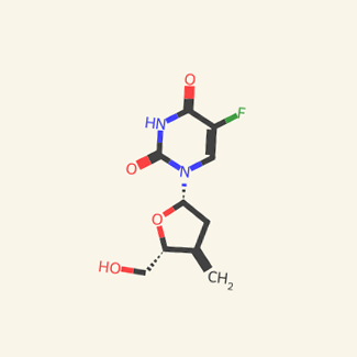 C=C1C[C@@H](n2cc(F)c(=O)[nH]c2=O)O[C@H]1CO